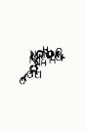 CC(C)(C)OC(=O)N1C[C@@H]2C[C@H]1CN2c1ccc2ncnc(Nc3ccc(OCC4COC4)c(Cl)c3)c2n1